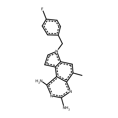 Cc1cc2c(ccn2Cc2ccc(F)cc2)c2c(N)nc(N)nc12